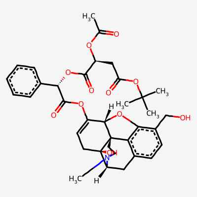 CC(=O)O[C@@H](CC(=O)OC(C)(C)C)C(=O)O[C@H](C(=O)OC1=CC[C@@]2(O)[C@H]3Cc4ccc(CO)c5c4[C@@]2(CCN3C)[C@H]1O5)c1ccccc1